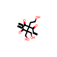 C=CC(=O)C(CO)(CO)C(CCO)(C(=O)C=C)C(=O)C=C